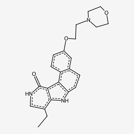 CCc1c[nH]c(=O)c2c1[nH]c1ccc3cc(OCCN4CCOCC4)ccc3c12